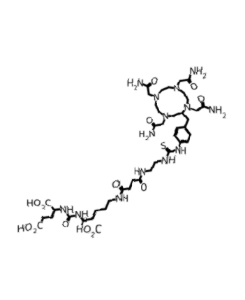 NC(=O)CN1CCN(CC(N)=O)CCN(CC(N)=O)C(Cc2ccc(NC(=S)NCCNC(=O)CCC(=O)NCCCC[C@H](NC(=O)NC(CCC(=O)O)C(=O)O)C(=O)O)cc2)CN(CC(N)=O)CC1